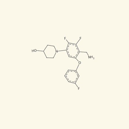 NCc1c(Oc2cccc(F)c2)cc(N2CCC(O)CC2)c(F)c1F